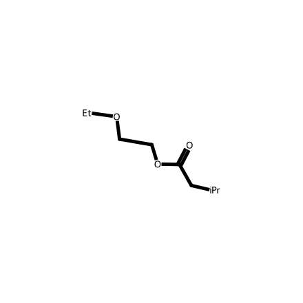 CCOCCOC(=O)CC(C)C